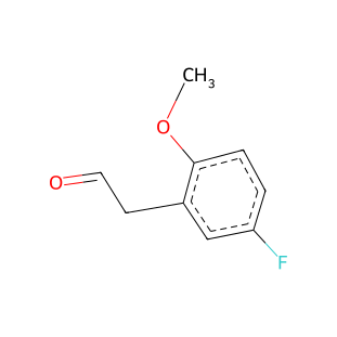 COc1ccc(F)cc1CC=O